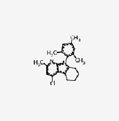 Cc1cc(C)c(-n2c3c(c4c(Cl)cc(C)nc42)CCCC3)c(C)c1